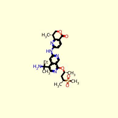 CCC(C)(N)c1cnc(O[C@H](C)C[C@@H](C)S(C)(=O)=O)c2cnc(Nc3ccc4c(n3)[C@H](C)COC4=O)cc12